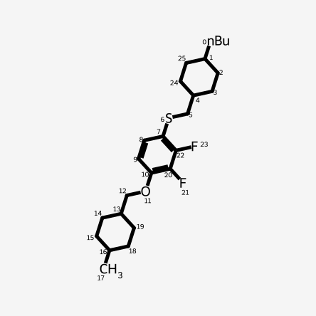 CCCCC1CCC(CSc2ccc(OCC3CCC(C)CC3)c(F)c2F)CC1